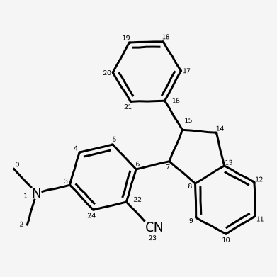 CN(C)c1ccc(C2c3ccccc3CC2c2ccccc2)c(C#N)c1